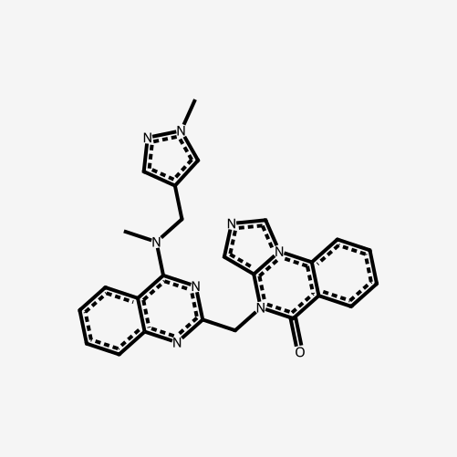 CN(Cc1cnn(C)c1)c1nc(Cn2c(=O)c3ccccc3n3cncc23)nc2ccccc12